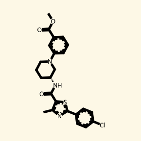 COC(=O)c1cccc(N2CCC[C@@H](NC(=O)c3sc(-c4ccc(Cl)cc4)nc3C)C2)c1